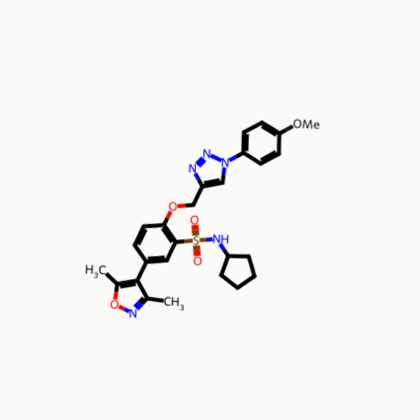 COc1ccc(-n2cc(COc3ccc(-c4c(C)noc4C)cc3S(=O)(=O)NC3CCCC3)nn2)cc1